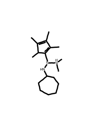 CC1=C(C)C(C)[C]([Ti]([NH]C2CCCCCC2)[SiH](C)C)=C1C